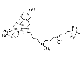 CN(CCCCC[C@@H]1Cc2cc(O)ccc2[C@H]2CC[C@@]3(C)C(=CC[C@@H]3O)[C@H]12)CCC[S+]([O-])CCCC(F)(F)C(F)(F)F